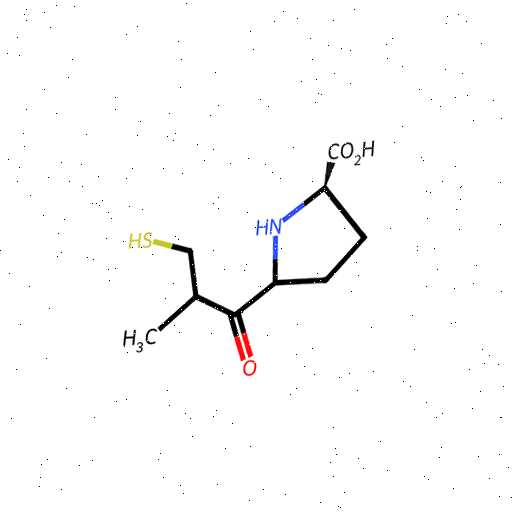 CC(CS)C(=O)C1CC[C@H](C(=O)O)N1